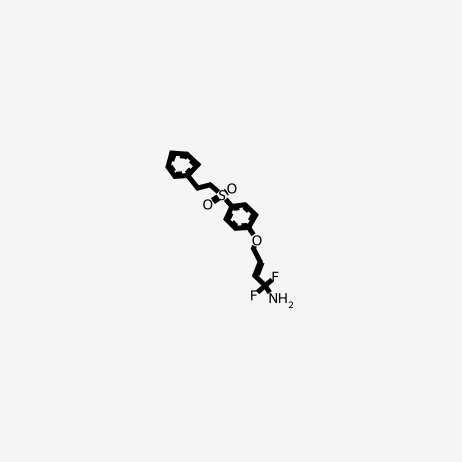 NC(F)(F)C=CCOc1ccc(S(=O)(=O)CCc2ccccc2)cc1